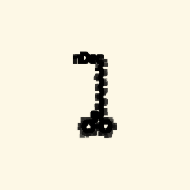 CCCCCCCCCCCCCCCCCCCCCC(=S)c1ccccc1-c1ccccc1